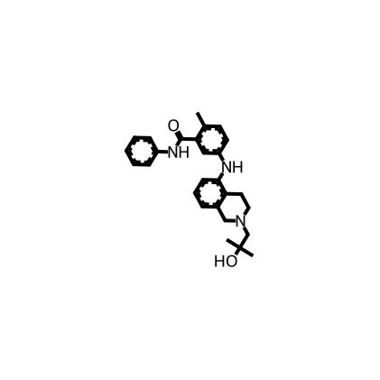 Cc1ccc(Nc2cccc3c2CCN(CC(C)(C)O)C3)cc1C(=O)Nc1ccccc1